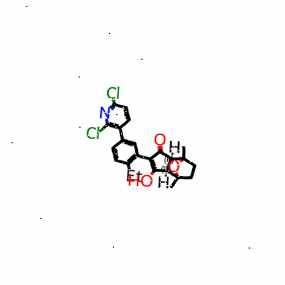 CCc1ccc(-c2ccc(Cl)nc2Cl)cc1C1=C(O)[C@H]2[C@@H](C1=O)C1(C)CCC2(C)O1